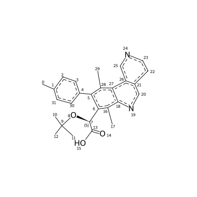 Cc1ccc(-c2c([C@H](OC(C)(C)C)C(=O)O)c(C)c3ncc4ccncc4c3c2C)cc1